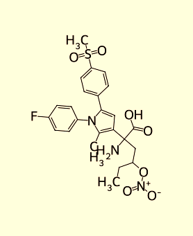 CCC(CC(N)(C(=O)O)c1cc(-c2ccc(S(C)(=O)=O)cc2)n(-c2ccc(F)cc2)c1C)O[N+](=O)[O-]